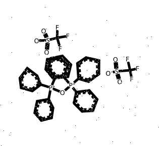 O=S(=O)([O-])C(F)(F)F.O=S(=O)([O-])C(F)(F)F.c1ccc([P+](O[P+](c2ccccc2)(c2ccccc2)c2ccccc2)(c2ccccc2)c2ccccc2)cc1